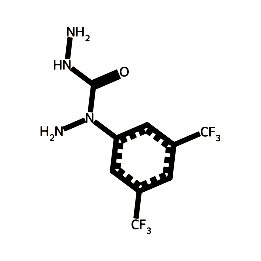 NNC(=O)N(N)c1cc(C(F)(F)F)cc(C(F)(F)F)c1